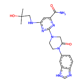 CC(C)(O)CNc1cc(C(N)=O)nc(N2CCN(c3ccc4nc[nH]c4c3)C(=O)C2)n1